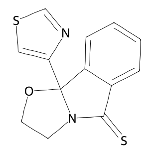 S=C1c2ccccc2C2(c3cscn3)OCCN12